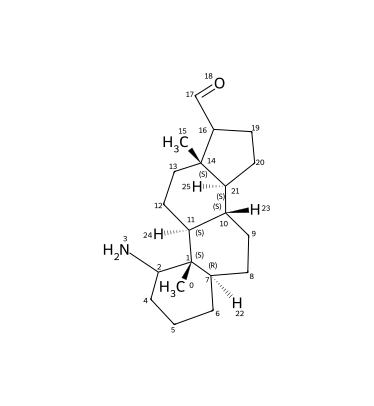 C[C@]12C(N)CCC[C@@H]1CC[C@@H]1[C@@H]2CC[C@]2(C)C(C=O)CC[C@@H]12